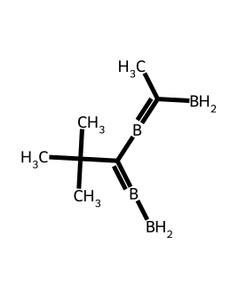 B/B=C(\B=C(/B)C)C(C)(C)C